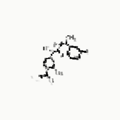 CC(NC(=O)N(S)c1ccc(C(N)=O)c(C#N)c1)c1cccc(F)c1